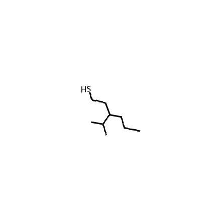 CCCC(CCS)C(C)C